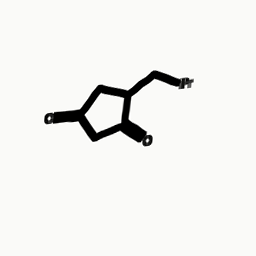 CC(C)CC1CC(=O)CC1=O